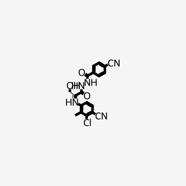 Cc1c(N[C@H](CO)C(=O)NNC(=O)c2ccc(C#N)cc2)ccc(C#N)c1Cl